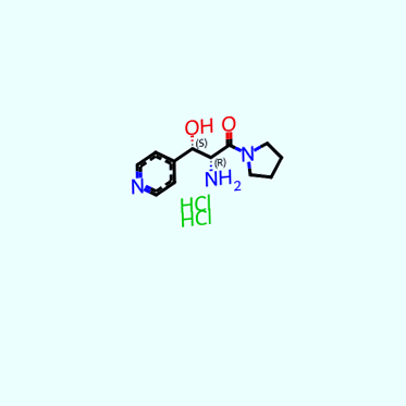 Cl.Cl.N[C@@H](C(=O)N1CCCC1)[C@@H](O)c1ccncc1